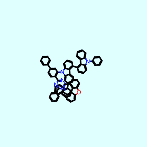 c1ccc(-c2ccc(-c3nc(-c4ccccc4)nc(-c4cccc5oc6cccc(-c7ccccc7)c6c45)n3)c(-n3c4cc(-c5ccccc5)ccc4c4c(-c5cccc6c5c5ccccc5n6-c5ccccc5)cccc43)c2)cc1